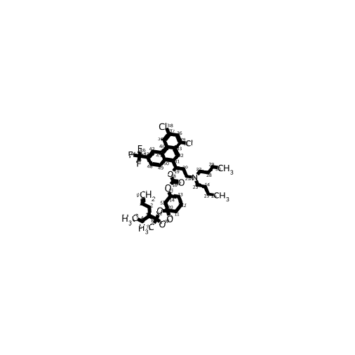 C=CCC(CC)C1(C)OOC2(CCCC(OC(=O)OC(CCN(CCCC)CCCC)c3cc4c(Cl)cc(Cl)cc4c4cc(C(F)(F)F)ccc34)C2)O1